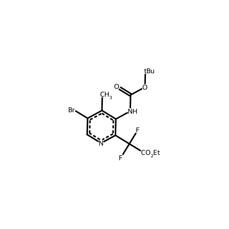 CCOC(=O)C(F)(F)c1ncc(Br)c(C)c1NC(=O)OC(C)(C)C